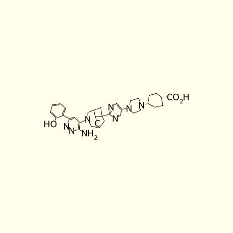 Nc1nnc(-c2ccccc2O)cc1N1CC2CC3C(C1)CC3(c1ncc(N3CCN([C@H]4CC[C@@H](C(=O)O)CC4)CC3)cn1)C2